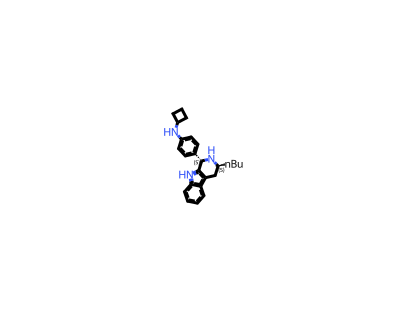 CCCC[C@H]1Cc2c([nH]c3ccccc23)[C@H](c2ccc(NC3CCC3)cc2)N1